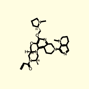 C=CC(=O)N1C[C@@H]2COc3c(OC[C@@H]4CCCN4C)nc4c(c3N2C[C@H]1C)CCN(c1cncc2c1N(C)CCC2)C4